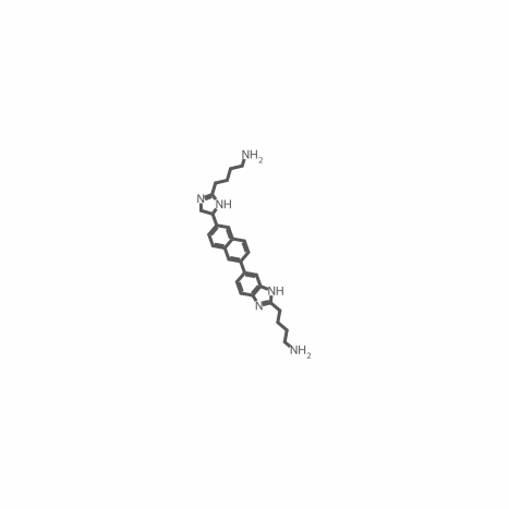 NCCCCC1=NCC(c2ccc3cc(-c4ccc5nc(CCCCN)[nH]c5c4)ccc3c2)N1